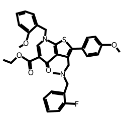 CCOC(=O)c1cn(Cc2ccccc2OC)c2sc(-c3ccc(OC)cc3)c(CN(C)Cc3ccccc3F)c2c1=O